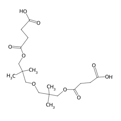 CC(C)(COCC(C)(C)COC(=O)CCC(=O)O)COC(=O)CCC(=O)O